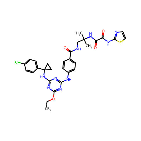 CC(C)(CNC(=O)c1ccc(Nc2nc(NC3(c4ccc(Cl)cc4)CC3)nc(OCC(F)(F)F)n2)cc1)NC(=O)C(=O)Nc1nccs1